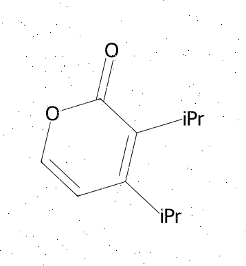 CC(C)c1ccoc(=O)c1C(C)C